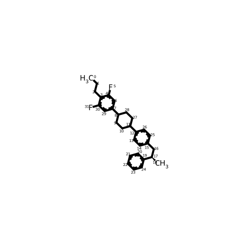 CCCc1c(F)cc(C2CCC(c3ccc(C[C@@H](C)c4ccccc4)cc3)CC2)cc1F